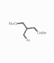 COCC(COC)CC(C)=O